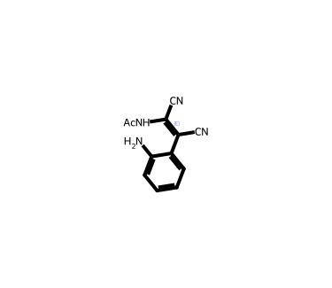 CC(=O)N/C(C#N)=C(/C#N)c1ccccc1N